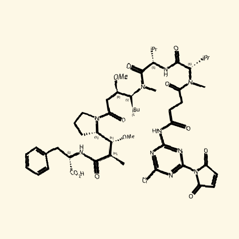 CC[C@H](C)[C@@H]([C@@H](CC(=O)N1CCC[C@H]1[C@H](OC)[C@@H](C)C(=O)N[C@@H](Cc1ccccc1)C(=O)O)OC)N(C)C(=O)[C@@H](NC(=O)[C@H](C(C)C)N(C)C(=O)CCC(=O)Nc1nc(Cl)nc(N2C(=O)C=CC2=O)n1)C(C)C